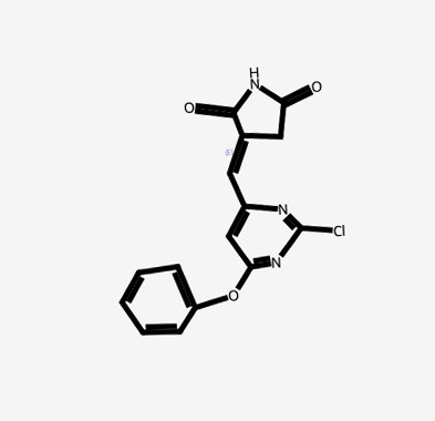 O=C1C/C(=C\c2cc(Oc3ccccc3)nc(Cl)n2)C(=O)N1